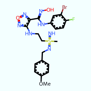 COc1ccc(CN=S(C)(=N)CCNc2nonc2/C(=N/O)Nc2ccc(F)c(Br)c2)cc1